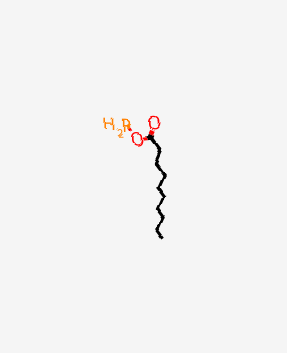 CCCCCCCCCC(=O)OP